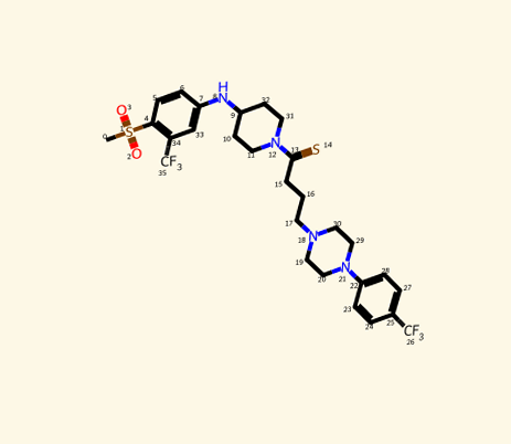 CS(=O)(=O)c1ccc(NC2CCN(C(=S)CCCN3CCN(c4ccc(C(F)(F)F)cc4)CC3)CC2)cc1C(F)(F)F